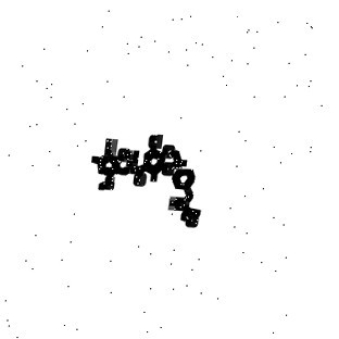 CSc1cc(C)[nH]c(=O)c1CNC(=O)c1cc(Cl)c2c(c1C)OC(C)([C@H]1CC[C@H](CNC3COC3)CC1)CO2